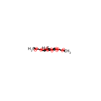 C=CC(=O)OCCCCOC(=O)Cc1ccc(C(=O)Oc2ccc(OC(=O)c3ccc(OC(=O)OCCCCOC(=O)C=C)cc3)cc2C)cc1